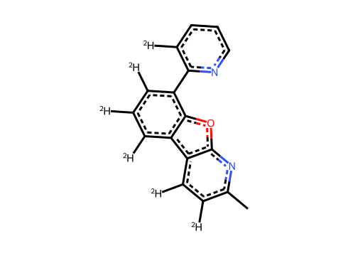 [2H]c1cccnc1-c1c([2H])c([2H])c([2H])c2c1oc1nc(C)c([2H])c([2H])c12